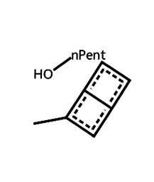 CCCCCO.Cc1cc2ccc1-2